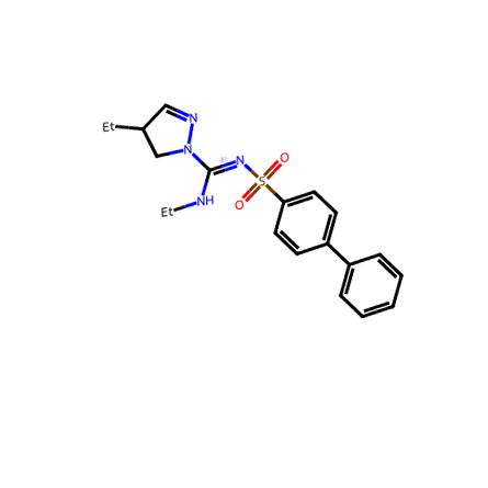 CCN/C(=N\S(=O)(=O)c1ccc(-c2ccccc2)cc1)N1CC(CC)C=N1